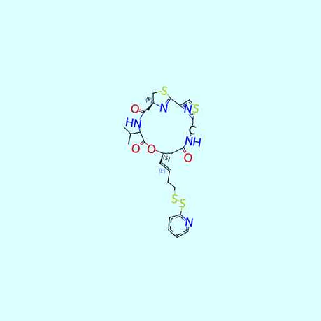 CC(C)C1NC(=O)[C@]2(C)CSC(=N2)c2csc(n2)CNC(=O)C[C@@H](/C=C/CCSSc2ccccn2)OC1=O